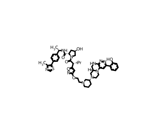 Cc1ncsc1-c1ccc([C@H](C)NC(=O)[C@@H]2C[C@@H](O)CN2C(=O)[C@@H](c2cc(OCCN3CCC[C@@H](N4CCN5c6cc(-c7ccccc7O)nnc6NC[C@H]5C4)C3)no2)C(C)C)cc1